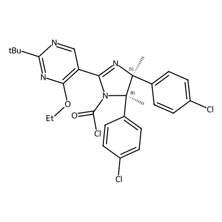 CCOc1nc(C(C)(C)C)ncc1C1=N[C@@](C)(c2ccc(Cl)cc2)[C@@](C)(c2ccc(Cl)cc2)N1C(=O)Cl